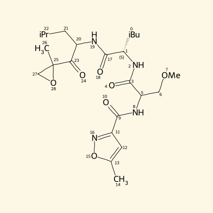 CCC(C)[C@H](NC(=O)C(COC)NC(=O)c1cc(C)on1)C(=O)NC(CC(C)C)C(=O)C1(C)CO1